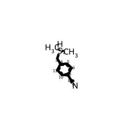 C[SH](C)Cc1ccc(C#N)cc1